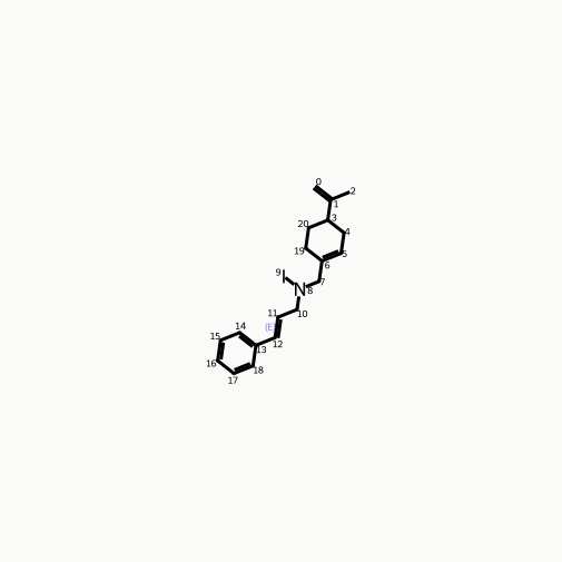 C=C(C)C1CC=C(CN(I)C/C=C/c2ccccc2)CC1